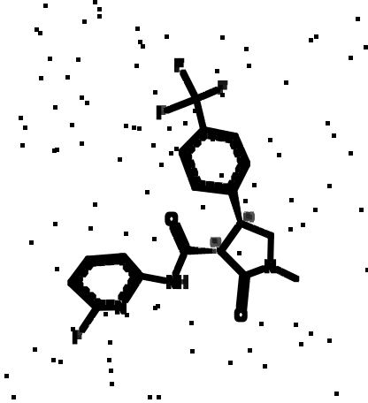 CN1C[C@H](c2ccc(C(F)(F)F)cc2)[C@@H](C(=O)Nc2cccc(F)n2)C1=O